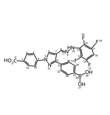 O=C(O)c1ccc(-n2cc(/C=N/Nc3c(F)c(F)cc(F)c3F)c(-c3ccc(B(O)O)cc3)n2)cc1